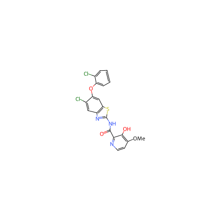 COc1ccnc(C(=O)Nc2nc3cc(Cl)c(Oc4ccccc4Cl)cc3s2)c1O